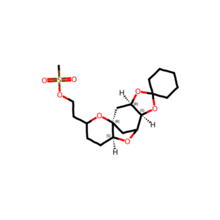 CS(=O)(=O)OCCC1CC[C@@H]2OC3C[C@]2(C[C@H]2OC4(CCCCC4)O[C@@H]32)O1